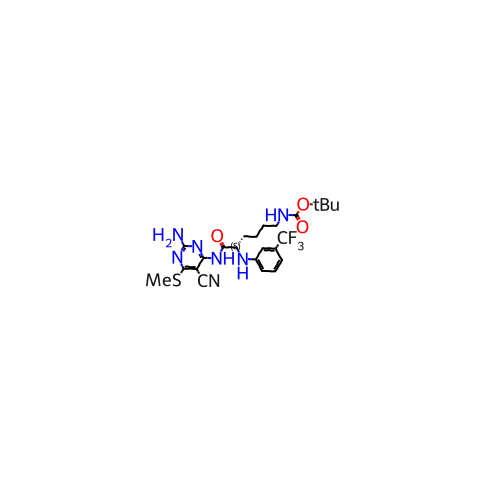 CSc1nc(N)nc(NC(=O)[C@H](CCCCNC(=O)OC(C)(C)C)Nc2cccc(C(F)(F)F)c2)c1C#N